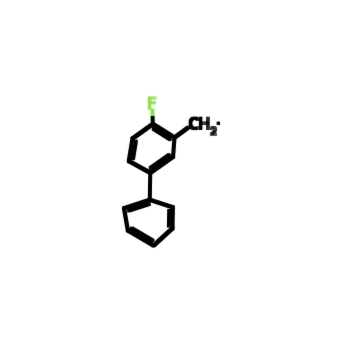 [CH2]c1cc(-c2ccccc2)ccc1F